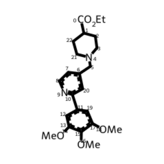 CCOC(=O)C1CCN(Cc2ccnc(-c3cc(OC)c(OC)c(OC)c3)c2)CC1